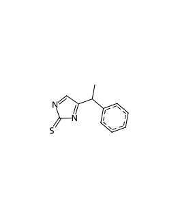 CC(C1=NC(=S)N=C1)c1ccccc1